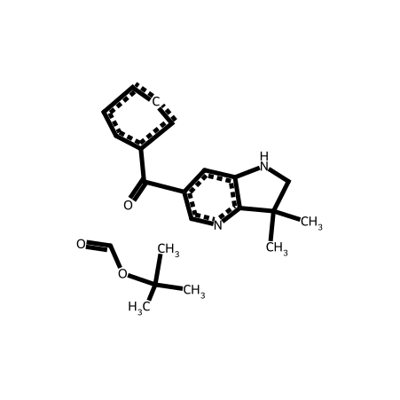 CC(C)(C)OC=O.CC1(C)CNc2cc(C(=O)c3ccccc3)cnc21